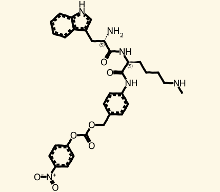 CNCCCC[C@H](NC(=O)[C@@H](N)Cc1c[nH]c2ccccc12)C(=O)Nc1ccc(COC(=O)Oc2ccc([N+](=O)[O-])cc2)cc1